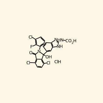 Cl.O=C(O)Nc1nc2ccc(C3(O)c4c(Cl)ccc(Cl)c4C(=O)N3c3cccc(Cl)c3F)cc2[nH]1